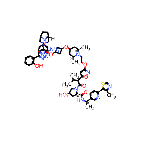 Cc1ncsc1-c1ccc([C@H](C)NC(=O)[C@@H]2C[C@@H](O)CN2C(=O)C(c2cc(OCCN3[C@H](C)CC(OC4CC(Oc5cc(N6C7CC[C@@H]6CN(c6cc(-c8ccccc8O)nnc6N)C7)ccn5)C4)C[C@@H]3C)no2)C(C)C)cn1